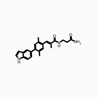 C/C(=C\c1cc(C)c(-c2ccc3[nH]ccc3c2)cc1C)C(=O)NCCC(N)=O